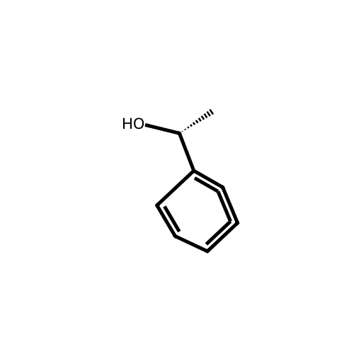 C[C@@H](O)C1=C=C=CC=C1